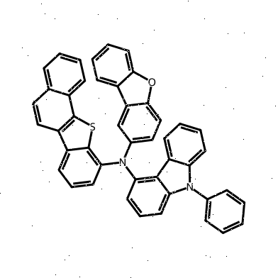 c1ccc(-n2c3ccccc3c3c(N(c4ccc5oc6ccccc6c5c4)c4cccc5c4sc4c6ccccc6ccc54)cccc32)cc1